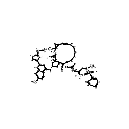 COc1ccc2c(O[C@@H]3C[C@H]4C(=O)N[C@]5(C(=O)O)CC5/C=C\CCCCC[C@H](NC(=O)NC(CN(C)S(=O)(=O)c5ccccc5)C(C)(C)C)C(=O)N4C3)cc(-c3csc(NC(C)C)n3)nc2c1